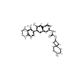 Cc1c(-c2cc3cc(NC(=O)OC4CC5(CCNCC5)C4)ncc3cc2F)cnc2c1NCCO2